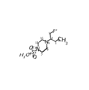 CCC(CF)N1CCN(S(C)(=O)=O)CC1